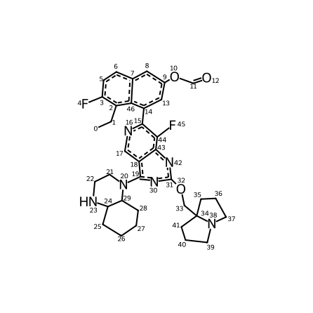 CCc1c(F)ccc2cc(OC=O)cc(-c3ncc4c(N5CCNC6CCCCC65)nc(OCC56CCCN5CCC6)nc4c3F)c12